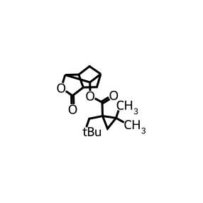 CC(C)(C)CC1(C(=O)OC2C3CC4C(=O)OC2C4C3)CC1(C)C